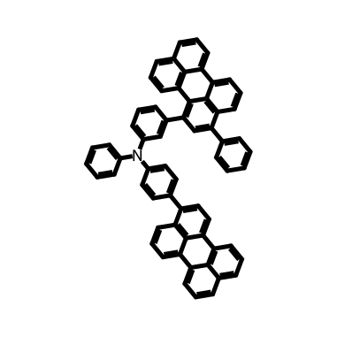 c1ccc(-c2cc(-c3cccc(N(c4ccccc4)c4ccc(-c5ccc6c7cccc8cccc(c9cccc5c96)c87)cc4)c3)c3c4cccc5cccc(c6cccc2c63)c54)cc1